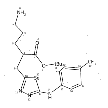 CC(C)(C)OC(=O)C(CCCN)Cc1nnc(Nc2ccc(C(F)(F)F)cc2)[se]1